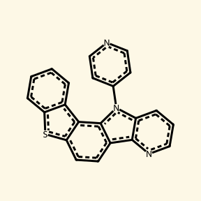 c1ccc2c(c1)sc1ccc3c4ncccc4n(-c4ccncc4)c3c12